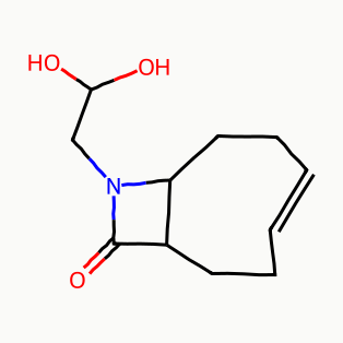 O=C1C2CC/C=C/CCC2N1CC(O)O